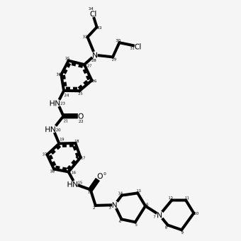 O=C(CN1CCC(N2CCCCC2)CC1)Nc1ccc(NC(=O)Nc2ccc(N(CCCl)CCCl)cc2)cc1